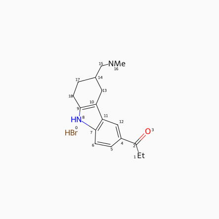 Br.CCC(=O)c1ccc2[nH]c3c(c2c1)CC(CNC)CC3